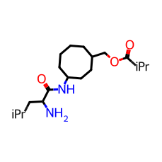 CC(C)CC(N)C(=O)NC1CCCCC(COC(=O)C(C)C)CC1